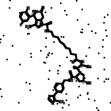 Cc1ncsc1-c1ccc(CNC(=O)[C@@H]2C[C@@H](O)CN2C(=O)[C@@H](NC(=O)CCCCCCCCCNC(=O)c2cc(N)c3n2CC(=O)N[C@@H]3c2cc(F)ccc2Cl)C(C)(C)C)cc1